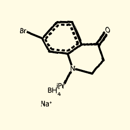 CC(C)N1CCC(=O)c2ccc(Br)cc21.[BH4-].[Na+]